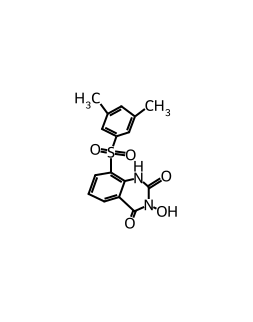 Cc1cc(C)cc(S(=O)(=O)c2cccc3c(=O)n(O)c(=O)[nH]c23)c1